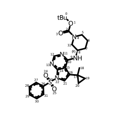 CC(C)(C)OC(=O)N1CCC[C@@H](Nc2ncnc3c2c(C2(C)CC2)cn3S(=O)(=O)c2ccccc2)C1